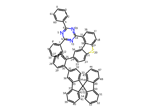 c1ccc(-c2nc(-c3ccccc3)nc(-c3cccc4sc5ccc(-c6ccccc6-c6ccc7c(c6)-c6ccccc6C76c7ccccc7-c7ccccc76)cc5c34)n2)cc1